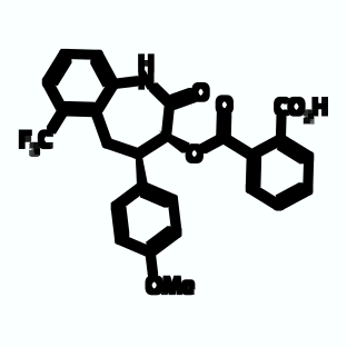 COc1ccc([C@H]2Cc3c(cccc3C(F)(F)F)NC(=O)[C@H]2OC(=O)c2ccccc2C(=O)O)cc1